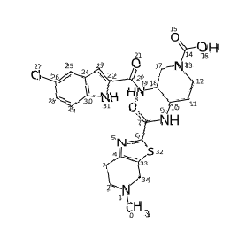 CN1CCc2nc(C(=O)NC3CCN(C(=O)O)CC3NC(=O)c3cc4cc(Cl)ccc4[nH]3)sc2C1